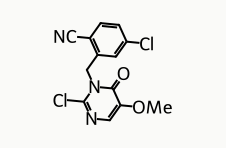 COc1cnc(Cl)n(Cc2cc(Cl)ccc2C#N)c1=O